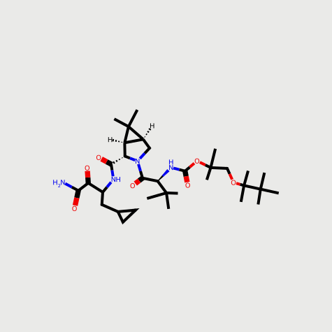 CC(C)(COC(C)(C)C(C)(C)C)OC(=O)N[C@H](C(=O)N1C[C@H]2[C@@H]([C@H]1C(=O)NC(CC1CC1)C(=O)C(N)=O)C2(C)C)C(C)(C)C